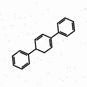 C1=CC(c2ccccc2)=CC[C]1c1ccccc1